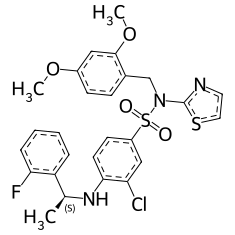 COc1ccc(CN(c2nccs2)S(=O)(=O)c2ccc(N[C@@H](C)c3ccccc3F)c(Cl)c2)c(OC)c1